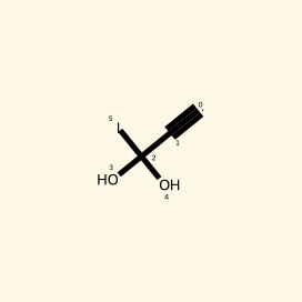 [C]#CC(O)(O)I